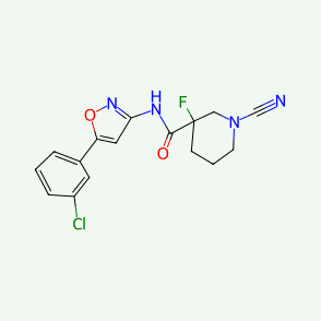 N#CN1CCCC(F)(C(=O)Nc2cc(-c3cccc(Cl)c3)on2)C1